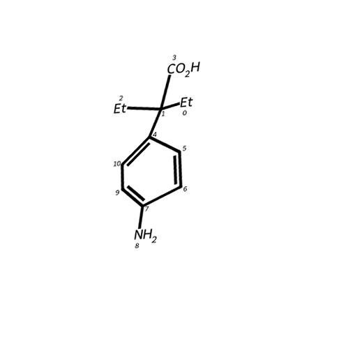 CCC(CC)(C(=O)O)c1ccc(N)cc1